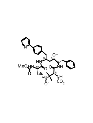 COC(=O)N[C@H](C(=O)N[C@@H](Cc1ccc(-c2ccccn2)cc1)C[C@H](O)[C@H](Cc1ccccc1)NC(=O)[C@@H](NC(=O)O)C(C)(C)[S@+](C)[O-])C(C)(C)C